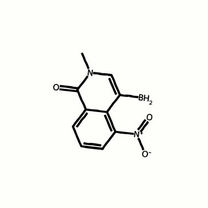 Bc1cn(C)c(=O)c2cccc([N+](=O)[O-])c12